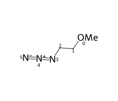 COCCN=[N+]=[N-]